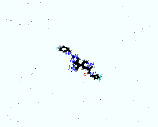 O=C(NCC1CC(F)(F)C1)c1cnn2ccc(-c3c[nH]c4nc(NCC5CCC(F)(F)CC5)ncc34)cc12